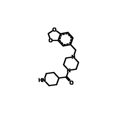 O=C(C1CCNCC1)N1CCN(Cc2ccc3c(c2)OCO3)CC1